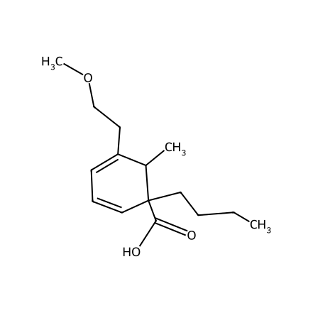 CCCCC1(C(=O)O)C=CC=C(CCOC)C1C